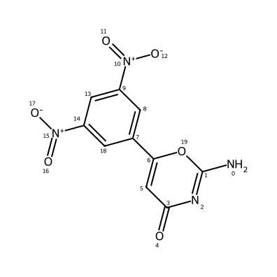 Nc1nc(=O)cc(-c2cc([N+](=O)[O-])cc([N+](=O)[O-])c2)o1